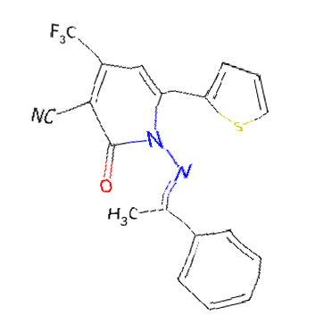 CC(=Nn1c(-c2cccs2)cc(C(F)(F)F)c(C#N)c1=O)c1ccccc1